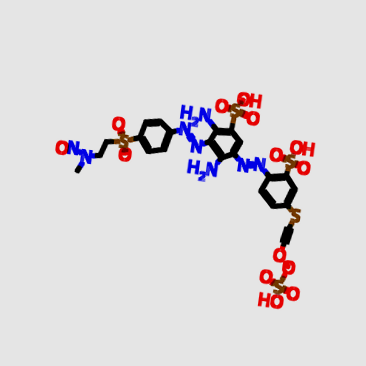 CN(CCS(=O)(=O)c1ccc(N=Nc2c(N)c(N=Nc3ccc(SC#COOS(=O)(=O)O)cc3S(=O)(=O)O)cc(S(=O)(=O)O)c2N)cc1)N=O